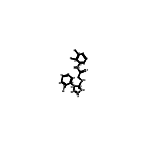 Cc1cccc(NC(=O)CSc2nnnn2-c2ccccc2F)c1C